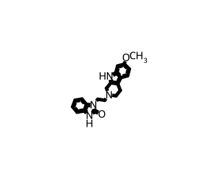 COc1ccc2c3c([nH]c2c1)CN(CCn1c(=O)[nH]c2ccccc21)CC3